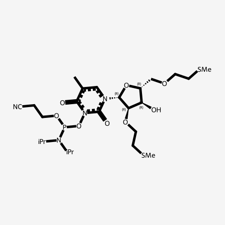 CSCCOC[C@H]1O[C@@H](n2cc(C)c(=O)n(OP(OCCC#N)N(C(C)C)C(C)C)c2=O)[C@H](OCCSC)[C@@H]1O